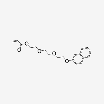 C=CC(=O)OCCOCCOCCOc1ccc2ccccc2c1